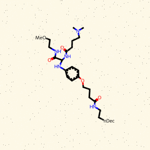 CCCCCCCCCCCCNC(=O)CCCOc1ccc(NC(NC(=O)CCCN(C)C)C(=O)NCCOC)cc1